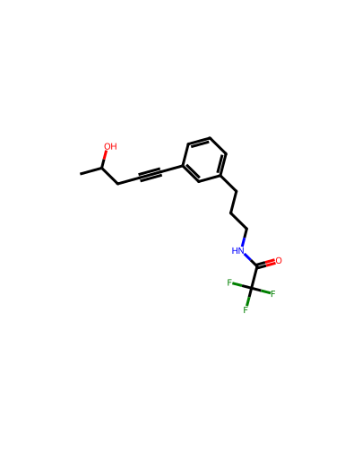 CC(O)CC#Cc1cccc(CCCNC(=O)C(F)(F)F)c1